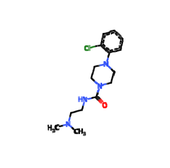 CN(C)CCNC(=O)N1CCN(c2ccccc2Cl)CC1